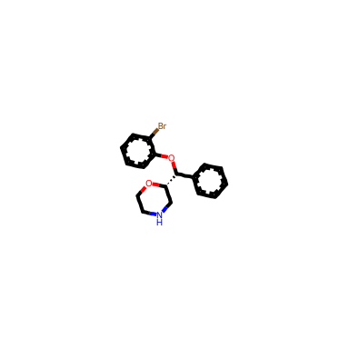 Brc1ccccc1OC(c1ccccc1)[C@@H]1CNCCO1